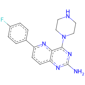 Nc1nc(N2CCNCC2)c2nc(-c3ccc(F)cc3)ccc2n1